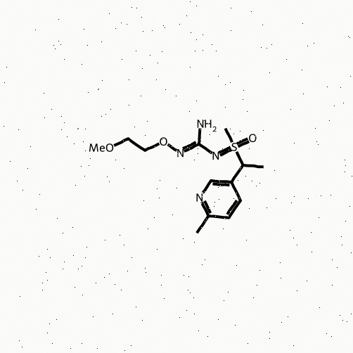 COCCO/N=C(\N)N=S(C)(=O)C(C)c1ccc(C)nc1